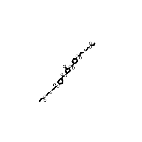 C=CC(=O)OCCSCCC(=O)Oc1ccc(C(=O)Oc2ccc(OC(=O)c3ccc(OC(=O)CCSCCOC(=O)C=C)cc3)c(Cl)c2)cc1